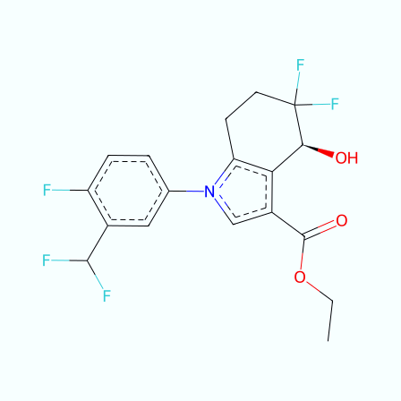 CCOC(=O)c1cn(-c2ccc(F)c(C(F)F)c2)c2c1[C@H](O)C(F)(F)CC2